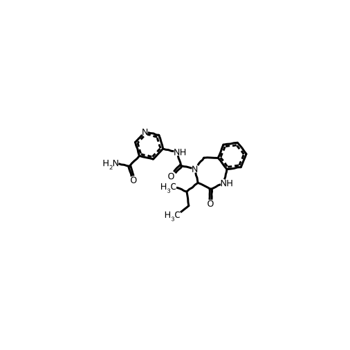 CCC(C)C1C(=O)Nc2ccccc2CN1C(=O)Nc1cncc(C(N)=O)c1